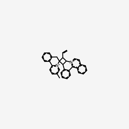 C=CC1C2C(c3ccccc3-c3c4ccccc4cc[n+]32)C12Cc1ccccc1-c1ccc(C)c[n+]12